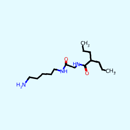 CCCC(CCC)C(=O)NCC(=O)NCCCCCN